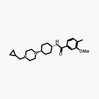 COc1cc(C(=O)N[C@H]2CC[C@H](N3CCN(CC4CC4)CC3)CC2)ccc1C